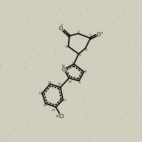 O=C1CC(=O)CC(c2ccc(-c3cccc(Cl)c3)o2)C1